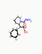 NC(=O)N1CCCCC1C(C(=O)O)c1ccccc1